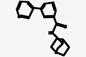 O=C(NC1CN2CCC1CC2)c1cccc(-c2cccnc2)c1